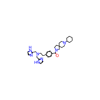 O=C(c1ccc(CCN(Cc2ncc[nH]2)Cc2ncc[nH]2)cc1)N1CCC2(CCN(C3CCCCC3)CC2)C1